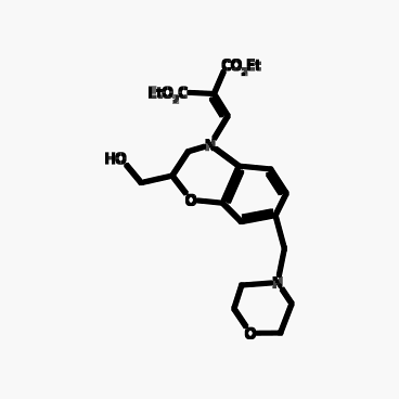 CCOC(=O)C(=CN1CC(CO)Oc2cc(CN3CCOCC3)ccc21)C(=O)OCC